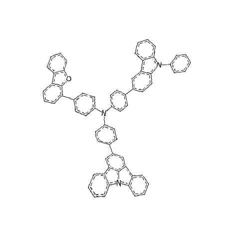 c1ccc(-n2c3ccccc3c3cc(-c4ccc(N(c5ccc(-c6cc7c8ccccc8n8c9ccccc9c(c6)c78)cc5)c5ccc(-c6cccc7c6oc6ccccc67)cc5)cc4)ccc32)cc1